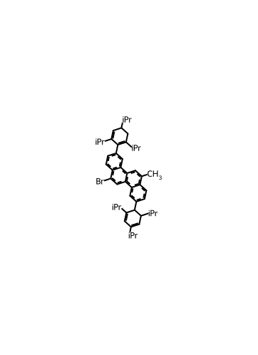 Cc1cc2c3cc(C4=C(C(C)C)CC(C(C)C)C=C4C(C)C)ccc3c(Br)cc2c2cc(C3C(C(C)C)=CC(C(C)C)=CC3C(C)C)ccc12